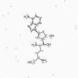 Nc1ncnc2c1ncn2[C@H]1C[C@H](O)[C@@H](C(O)C(N)CCC(N)C(=O)O)O1